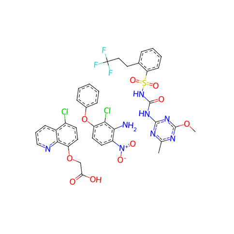 COc1nc(C)nc(NC(=O)NS(=O)(=O)c2ccccc2CCC(F)(F)F)n1.Nc1c([N+](=O)[O-])ccc(Oc2ccccc2)c1Cl.O=C(O)COc1ccc(Cl)c2cccnc12